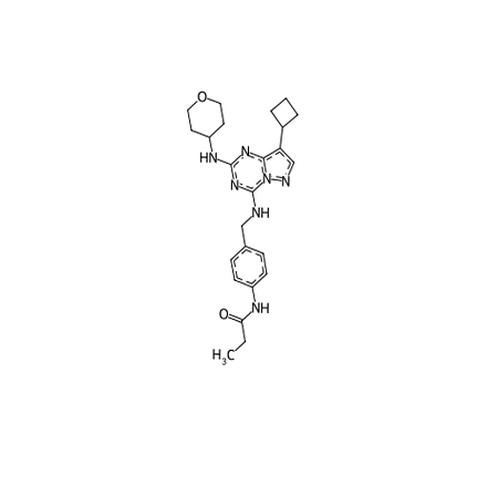 CCC(=O)Nc1ccc(CNc2nc(NC3CCOCC3)nc3c(C4CCC4)cnn23)cc1